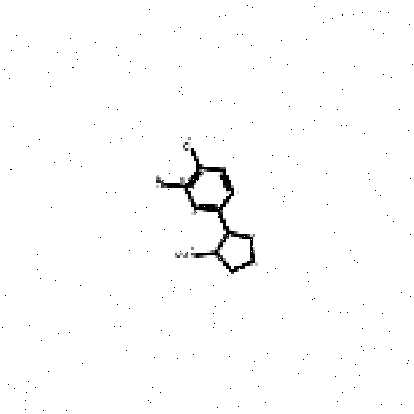 CNC1CCCC1c1ccc(Cl)c(Cl)c1